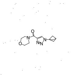 O=C(c1cn(C23CC(C2)C3)nn1)N1CCOCC1